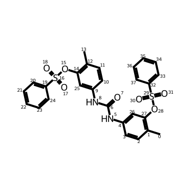 Cc1ccc(NC(=O)Nc2ccc(C)c(OS(=O)(=O)c3ccccc3)c2)cc1OS(=O)(=O)c1ccccc1